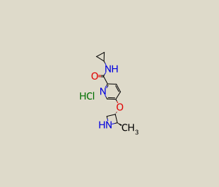 C[C@H]1NC[C@@H]1Oc1ccc(C(=O)NC2CC2)nc1.Cl